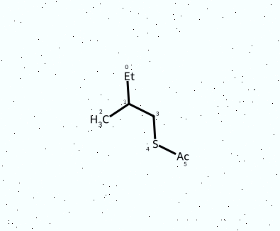 CCC(C)CSC(C)=O